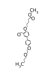 CCCCOCCOc1ccc(-c2ccc(OCCCCC(=O)OCC)c(C=O)c2)cc1